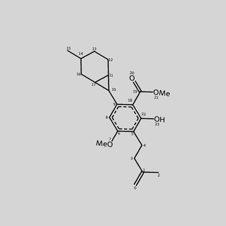 C=C(C)CCc1c(OC)cc(C2C3CCC(C)CC32)c(C(=O)OC)c1O